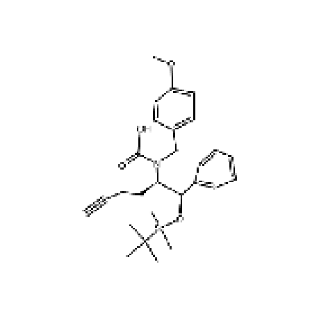 C#CCC[C@H]([C@H](O[Si](C)(C)C(C)(C)C)c1ccccc1)N(Cc1ccc(OC)cc1)C(=O)O